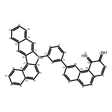 N=C1C=Cc2ccc3ccc(-c4cccc(-n5c6cc7ccccc7cc6c6c7ccccc7ccc65)c4)cc3c2C1=N